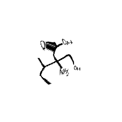 CCC(C)C(N)(CO)C(=O)O